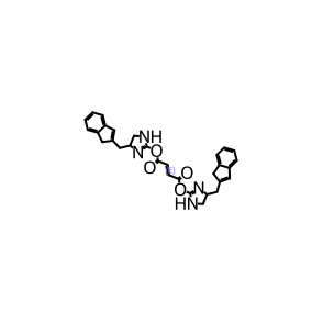 O=C(/C=C/C(=O)OC1=NC(CC2=Cc3ccccc3C2)CN1)OC1=NC(CC2=Cc3ccccc3C2)CN1